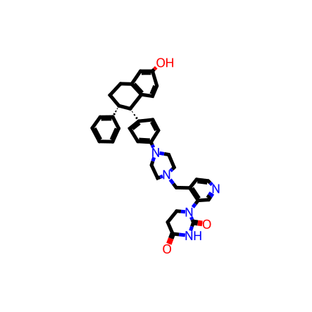 O=C1CCN(c2cnccc2CN2CCN(c3ccc([C@H]4c5ccc(O)cc5CC[C@H]4c4ccccc4)cc3)CC2)C(=O)N1